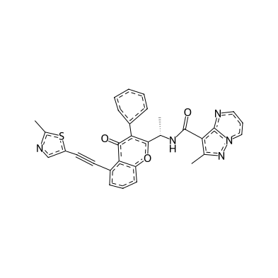 Cc1ncc(C#Cc2cccc3oc([C@H](C)NC(=O)c4c(C)nn5cccnc45)c(-c4ccccc4)c(=O)c23)s1